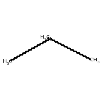 CCCCCCCCCCCCCCCCCCCCCCCCCCCN(C)CCCCCCCCCCCCCCCCCCCCCCCCCCC